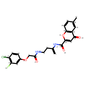 C=C(CCNC(=O)COc1ccc(Cl)c(F)c1)NC(=O)c1cc(=O)c2cc(C)ccc2o1